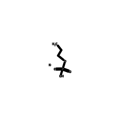 CCCOS(=O)(=O)O.[K]